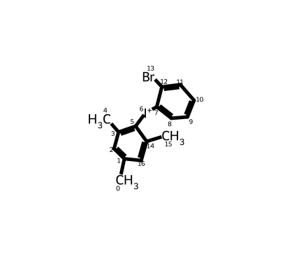 Cc1cc(C)c([I+]c2ccccc2Br)c(C)c1